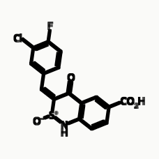 O=C(O)c1ccc2c(c1)C(=O)/C(=C\c1ccc(F)c(Cl)c1)[S+]([O-])N2